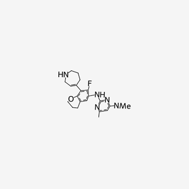 CNc1cc(C)nc(Nc2cc3c(c(C4=CCNCCC4)c2F)OCCC3)n1